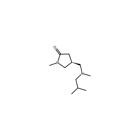 CC(C)CN(C)C[C@@H]1CC(=O)N(C)C1